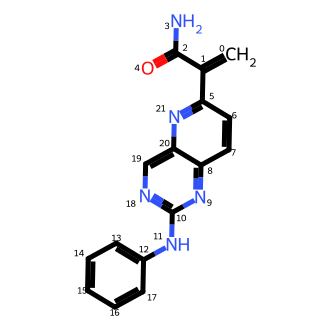 C=C(C(N)=O)c1ccc2nc(Nc3ccccc3)ncc2n1